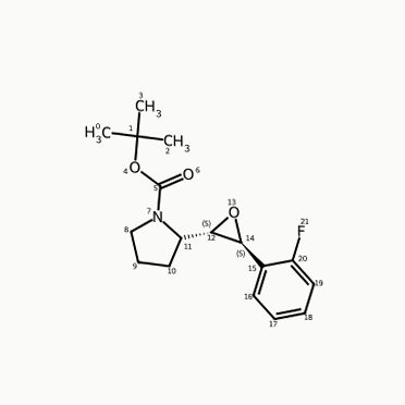 CC(C)(C)OC(=O)N1CCCC1[C@@H]1O[C@H]1c1ccccc1F